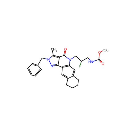 Cc1c2c(=O)n(CC(F)CNC(=O)OC(C)(C)C)c3cc4c(cc3c2nn1Cc1ccccc1)CCCC4